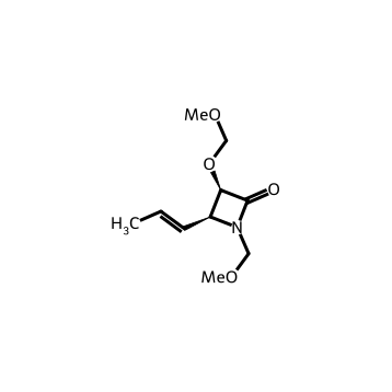 C/C=C/[C@H]1[C@@H](OCOC)C(=O)N1COC